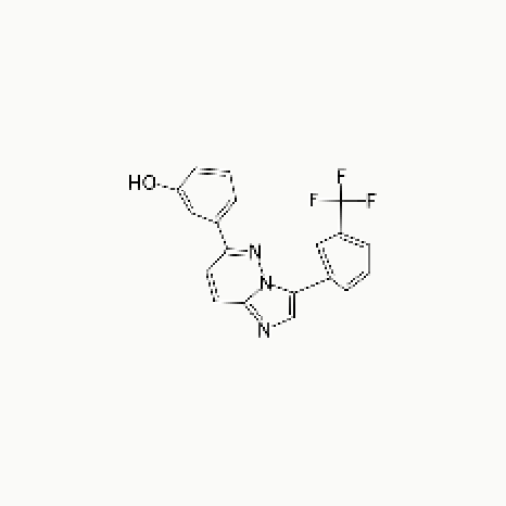 Oc1cccc(-c2ccc3ncc(-c4cccc(C(F)(F)F)c4)n3n2)c1